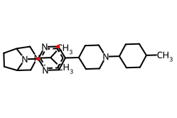 CC1CCC(N2CCC(c3cnc(N4C5CCC4CN(C(C)C)C5)nc3)CC2)CC1